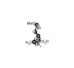 COc1ccnc(NCc2cc(-c3ccc(CC(NC(=O)c4c(C)cc(C)cc4C)C(=O)O)cc3)co2)c1